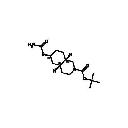 CC(C)(C)OC(=O)N1CC[C@@H]2C[C@@H](SC(N)=O)CC[C@@H]2C1